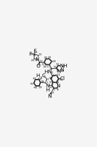 CC[C@@H](Nc1c(C#N)cnc2c(Cl)cc(N[C@@H](c3cccc(C(=O)N4CC(F)(F)C4)c3)c3c[nH]nn3)cc12)c1ccccc1